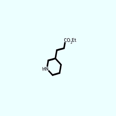 CCOC(=O)CCC1CCCNC1